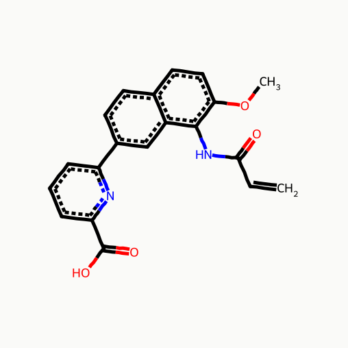 C=CC(=O)Nc1c(OC)ccc2ccc(-c3cccc(C(=O)O)n3)cc12